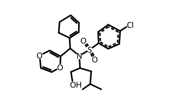 CC(C)CC(CO)N(C(C1=CC=CCC1)C1=COC=CO1)S(=O)(=O)c1ccc(Cl)cc1